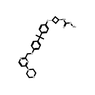 CC(C)(C)OC(=O)N[C@H]1C[C@H](Oc2ccc(C(C)(C)c3ccc(OCc4nccc(N5CCOCC5)n4)cc3)cc2)C1